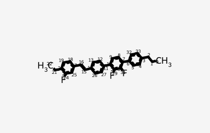 CCCc1ccc(-c2ccc(-c3ccc(/C=C/c4ccc(CC)c(F)c4)cc3)c(F)c2F)cc1